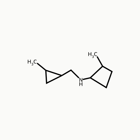 CC1CC1CNC1CCC1C